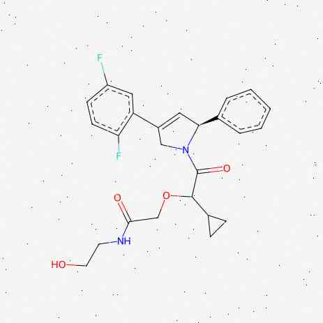 O=C(COC(C(=O)N1CC(c2cc(F)ccc2F)=C[C@H]1c1ccccc1)C1CC1)NCCO